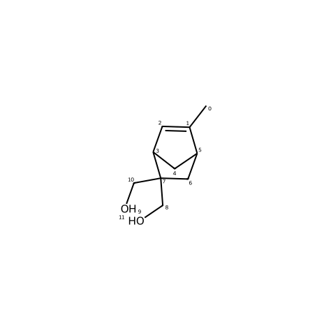 CC1=CC2CC1CC2(CO)CO